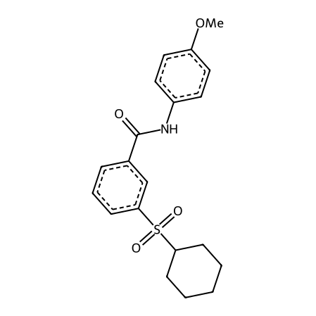 COc1ccc(NC(=O)c2cccc(S(=O)(=O)C3CCCCC3)c2)cc1